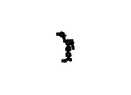 C#CC(=O)N1CCN(c2ccc(-c3cc(OCCC4(F)CCNC4)cn4ncc(C#N)c34)cn2)CC1